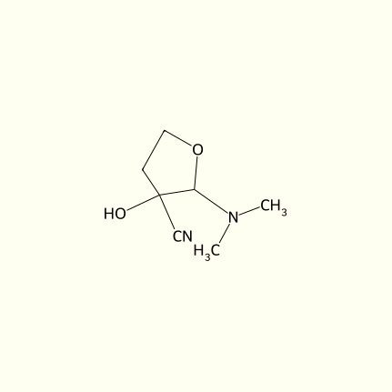 CN(C)C1OCCC1(O)C#N